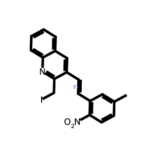 Cc1ccc([N+](=O)[O-])c(/C=C/c2cc3ccccc3nc2CI)c1